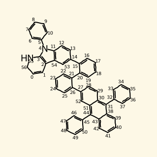 C1=Cc2c(n(-c3ccccc3)c3ccc(-c4ccccc4-c4ccccc4-c4ccc5c(-c6ccccc6)c6ccccc6c(-c6ccccc6)c5c4)cc23)NC1